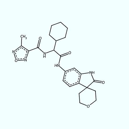 Cc1nonc1C(=O)NC(C(=O)Nc1ccc2c(c1)NC(=O)C21CCOCC1)C1CCCCC1